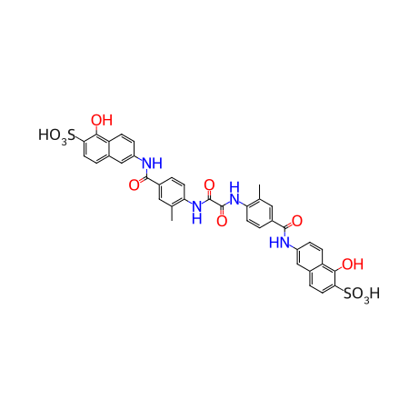 Cc1cc(C(=O)Nc2ccc3c(O)c(S(=O)(=O)O)ccc3c2)ccc1NC(=O)C(=O)Nc1ccc(C(=O)Nc2ccc3c(O)c(S(=O)(=O)O)ccc3c2)cc1C